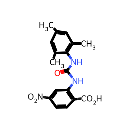 Cc1cc(C)c(NC(=O)Nc2cc([N+](=O)[O-])ccc2C(=O)O)c(C)c1